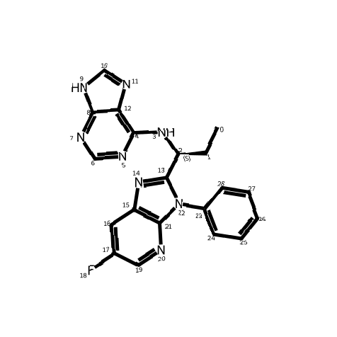 CC[C@H](Nc1ncnc2[nH]cnc12)c1nc2cc(F)cnc2n1-c1ccccc1